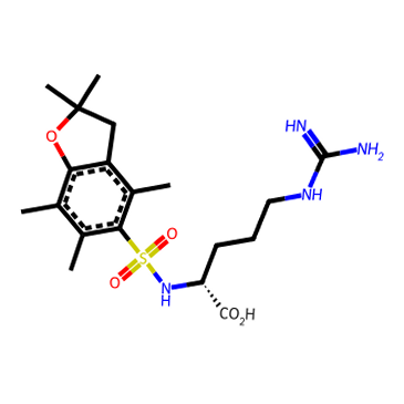 Cc1c(C)c(S(=O)(=O)N[C@H](CCCNC(=N)N)C(=O)O)c(C)c2c1OC(C)(C)C2